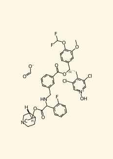 COc1cc([C@H](Cc2c(Cl)c[n+](O)cc2Cl)OC(=O)c2cccc(CNC(C(=O)O[C@H]3CN4CCC3CC4)c3ccccc3F)c2)ccc1OC(F)F.O=C[O-]